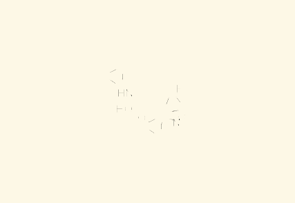 OC(CNCc1ccccc1)COc1cccc(-c2noc3cc(F)ccc23)c1